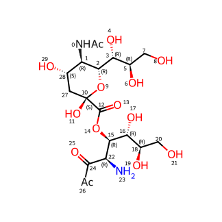 CC(=O)N[C@H]1[C@H]([C@H](O)[C@H](O)CO)O[C@](O)(C(=O)O[C@@H]([C@H](O)[C@H](O)CO)[C@@H](N)C(=O)C(C)=O)C[C@@H]1O